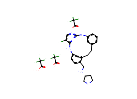 Clc1cnc2nc1Nc1ccc(CN[C@@H]3CCNC3)c(c1)CCc1cccc(c1)N2.O=C(O)C(F)(F)F.O=C(O)C(F)(F)F.O=C(O)C(F)(F)F